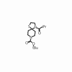 CC(C)C(=O)N1CCSC12CCN(C(=O)OC(C)(C)C)CC2